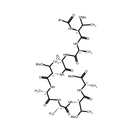 CNC(=O)[C@H](C)NC(=O)[C@@H](NC(=O)[C@H](C)NC(=O)[C@H](C)NC(=O)[C@@H](NC(=O)[C@H](C)NC(=O)[C@H](C)NC(=O)[C@@H](NC(=O)C(C)C)C(C)OC)C(C)OC)C(C)OC